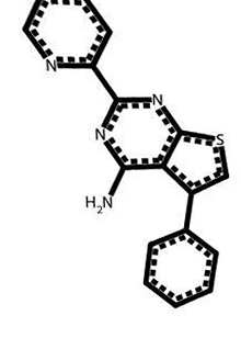 Nc1nc(-c2ccccn2)nc2scc(-c3ccccc3)c12